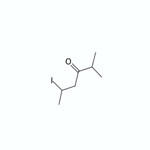 CC(I)CC(=O)C(C)C